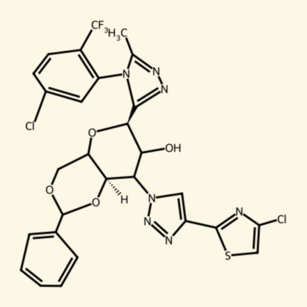 Cc1nnc([C@@H]2OC3COC(c4ccccc4)O[C@@H]3C(n3cc(-c4nc(Cl)cs4)nn3)C2O)n1-c1cc(Cl)ccc1C(F)(F)F